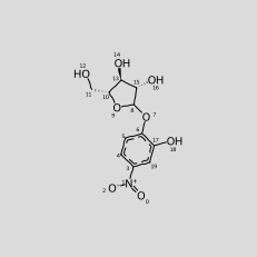 O=[N+]([O-])c1ccc(OC2O[C@H](CO)[C@@H](O)[C@@H]2O)c(O)c1